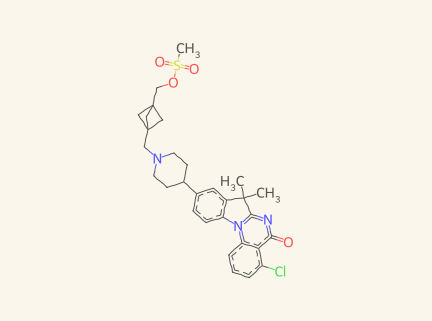 CC1(C)c2cc(C3CCN(CC45CC(COS(C)(=O)=O)(C4)C5)CC3)ccc2-n2c1nc(=O)c1c(Cl)cccc12